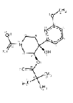 COc1cccc([C@@]2(O)CCN(C(=O)O)C[C@@H]2OC(=O)C(C)(C)C)n1